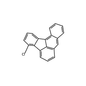 Clc1cccc2c1-c1cccc3cc4ccccc4c-2c13